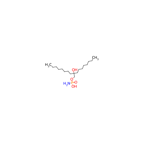 CCCCCCCCC(O)(CCCCCCCC)COP(N)(=O)O